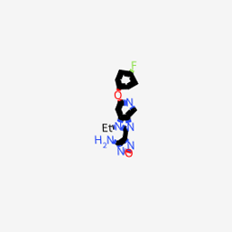 CCn1c(-c2nonc2N)nc2cnc(Oc3ccc(F)cc3)cc21